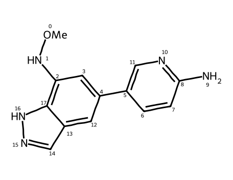 CONc1cc(-c2ccc(N)nc2)cc2cn[nH]c12